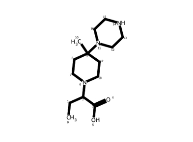 CCC(C(=O)O)N1CCC(C)(N2CCNCC2)CC1